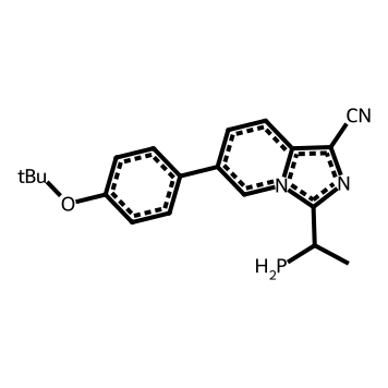 CC(P)c1nc(C#N)c2ccc(-c3ccc(OC(C)(C)C)cc3)cn12